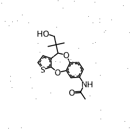 CC(=O)Nc1ccc2c(c1)Oc1sccc1C(C(C)(C)CO)O2